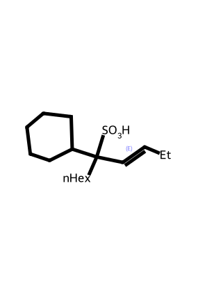 CC/C=C/C(CCCCCC)(C1CCCCC1)S(=O)(=O)O